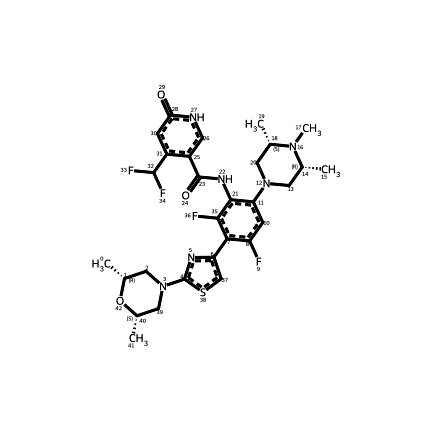 C[C@@H]1CN(c2nc(-c3c(F)cc(N4C[C@@H](C)N(C)[C@@H](C)C4)c(NC(=O)c4c[nH]c(=O)cc4C(F)F)c3F)cs2)C[C@H](C)O1